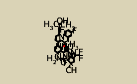 C#C[C@@H]1Cc2c(C(F)F)nn(CC(=O)N[C@@H](Cc3cc(F)cc(F)c3)c3nc(C#CC(C)(C)O)ccc3-c3ccc(Cl)c4c(NC(N)=O)nn(C)c34)c2C1(F)F